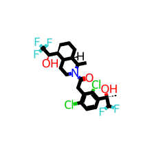 CC1[C@@H]2CCC[C@H]([C@H](O)C(F)(F)F)C2CCN1C(=O)Cc1c(Cl)ccc([C@@](C)(O)C(F)F)c1Cl